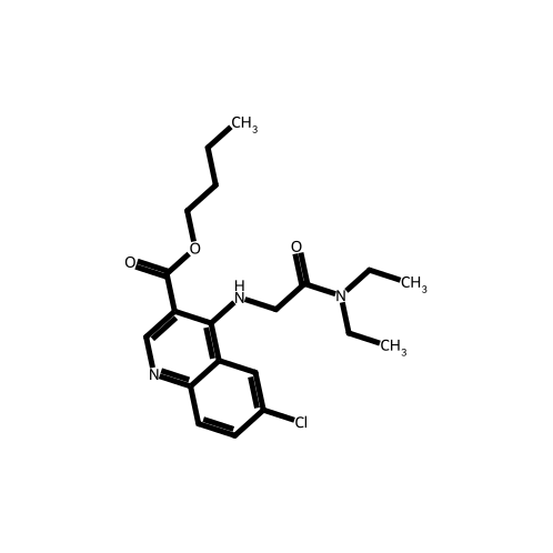 CCCCOC(=O)c1cnc2ccc(Cl)cc2c1NCC(=O)N(CC)CC